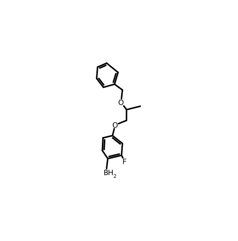 Bc1ccc(OCC(C)OCc2ccccc2)cc1F